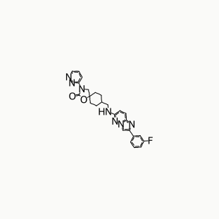 O=C1OC2(CCC(CNc3ccc4nc(-c5cccc(F)c5)cn4n3)CC2)CN1c1cccnn1